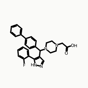 O=C(O)CN1CCN(C(c2ccc(-c3ccccc3)cc2)c2cn[nH]c2-c2ccccc2F)CC1